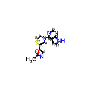 Cc1ncc(C2=CN(c3ncnc4[nH]ccc34)CCS2)o1